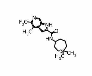 Cc1c(C(F)(F)F)ncc2[nH]c(C(=O)NC3CCC[Si](C)(C)CC3)cc12